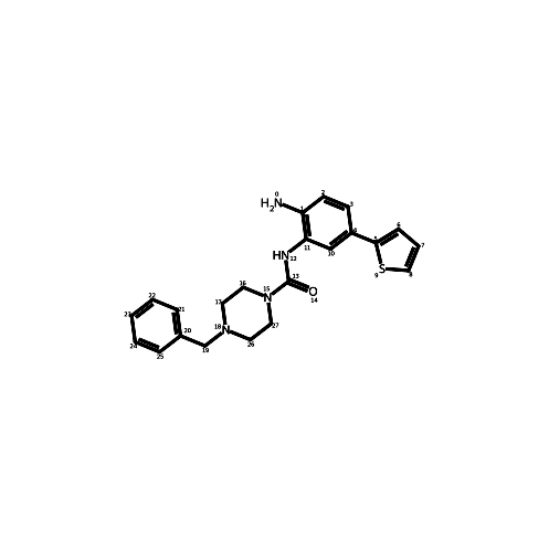 Nc1ccc(-c2cccs2)cc1NC(=O)N1CCN(Cc2ccccc2)CC1